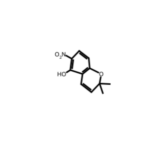 CC1(C)C=Cc2c(ccc([N+](=O)[O-])c2O)O1